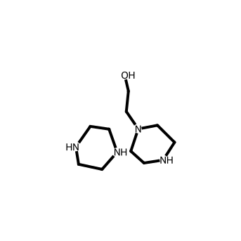 C1CNCCN1.OCCN1CCNCC1